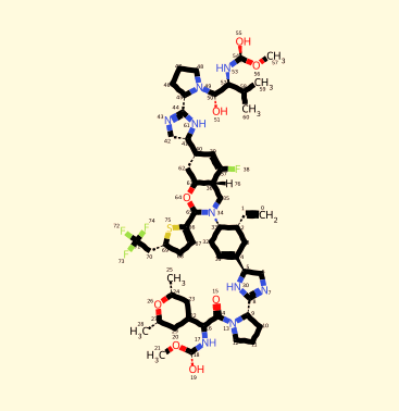 C=C[C@@H]1CC([C@H]2CN=C([C@@H]3CCCN3C(=O)C(N[C@H](O)OC)C3C[C@@H](C)O[C@@H](C)C3)N2)=CC[C@@H]1N1C[C@H]2C(F)=C[C@@H]([C@@H]3CN=C([C@@H]4CCCN4[C@@H](O)[C@@H](N[C@@H](O)OC)C(C)C)N3)CC2OC1C1=CC[C@H](CC(F)(F)F)S1